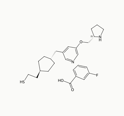 O=C(O)c1cccc(F)c1.SCC[C@H]1CC[C@H](Cc2cncc(OC[C@@H]3CCCN3)c2)CC1